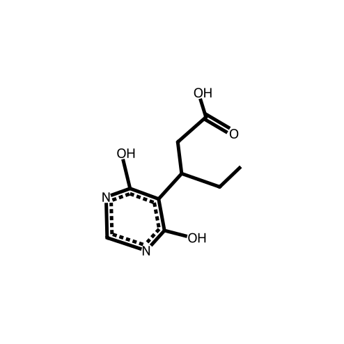 CCC(CC(=O)O)c1c(O)ncnc1O